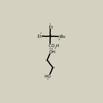 CCCCC(CC)(CC)C(=O)O.OCCO